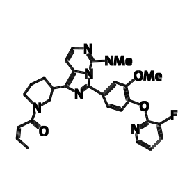 C/C=C\C(=O)N1CCCC(c2nc(-c3ccc(Oc4ncccc4F)c(OC)c3)n3c(NC)nccc23)C1